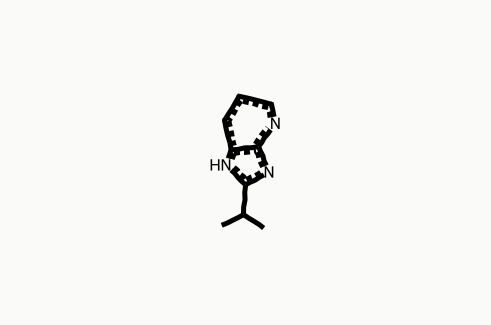 CC(C)c1nc2ncccc2[nH]1